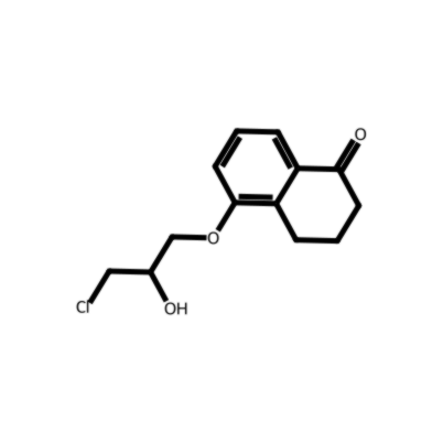 O=C1CCCc2c(OCC(O)CCl)cccc21